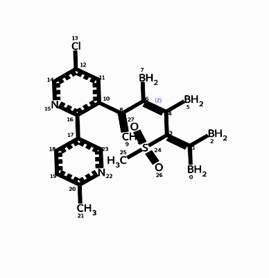 BC(B)=C(/C(B)=C(/B)C(=C)c1cc(Cl)cnc1-c1ccc(C)nc1)S(C)(=O)=O